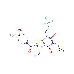 CCn1c(=O)c2c(CF)c(C(=O)N3CCC(C)(O)CC3)sc2n(CCC(F)(F)F)c1=O